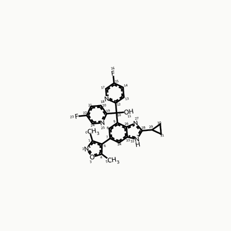 Cc1noc(C)c1-c1cc(C(O)(c2ccc(F)cn2)c2ccc(F)cn2)c2nc(C3CC3)[nH]c2c1